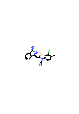 Cc1ccc(N(C#N)C(=O)C=C2NC(=N)c3ccccc32)cc1Cl